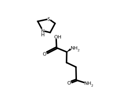 C1CSCN1.NC(=O)CC[C@H](N)C(=O)O